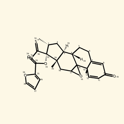 C[C@@H]1C[C@H]2[C@@H]3CCC4=CC(=O)C=C[C@]4(C)C34OC4C[C@]2(C)[C@@]1(OC(=O)c1ccco1)C(O)=S